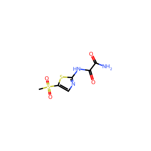 CS(=O)(=O)c1cnc(NC(=O)C(N)=O)s1